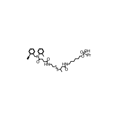 C#Cc1ccccc1CN(C(=O)CCC(=O)NCCSSC(C)CC(=O)NCCCCCCOP(=O)(O)C(C)C)c1ccccc1C